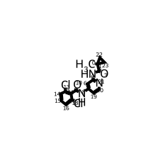 CC1(C(=O)Nc2cc(NC(=O)c3c(Cl)cccc3Cl)ccn2)CC1